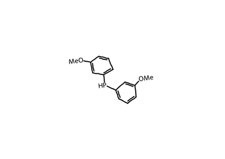 COc1cccc(Pc2cccc(OC)c2)c1